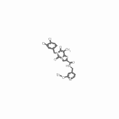 CCOc1cc(CNC(=O)c2cn3c(=O)n(Cc4ccc(Cl)c(Cl)c4)c(=O)c(C)c3s2)ccn1